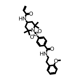 C=CC(=O)NC1CC(C)(C)N(S(=O)(=O)c2ccc(C(=O)NCCc3ccccc3OC)cc2)C(C)(C)C1